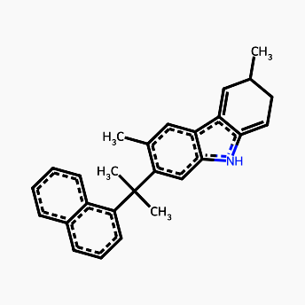 Cc1cc2c3c([nH]c2cc1C(C)(C)c1cccc2ccccc12)=CCC(C)C=3